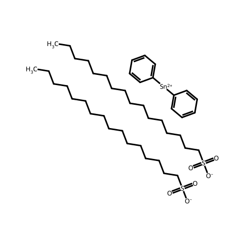 CCCCCCCCCCCCCCCCS(=O)(=O)[O-].CCCCCCCCCCCCCCCCS(=O)(=O)[O-].c1cc[c]([Sn+2][c]2ccccc2)cc1